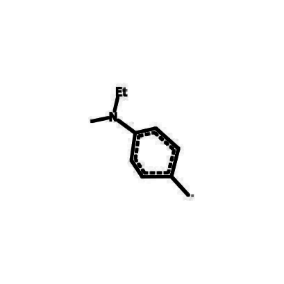 [CH2]c1ccc(N(C)CC)cc1